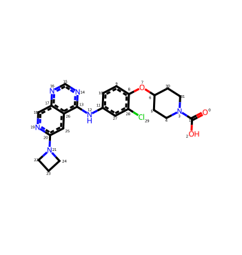 O=C(O)N1CCC(Oc2ccc(Nc3ncnc4cnc(N5CCC5)cc34)cc2Cl)CC1